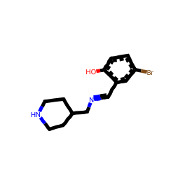 Oc1ccc(Br)cc1C=NCC1CCNCC1